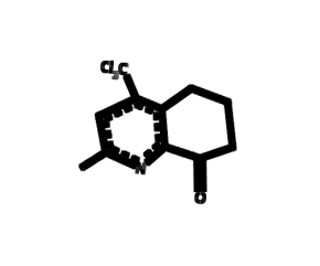 Cc1cc(C(Cl)(Cl)Cl)c2c(n1)C(=O)CCC2